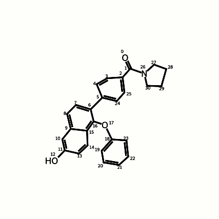 O=C(c1ccc(-c2ccc3cc(O)ccc3c2Oc2ccccc2)cc1)N1CCCC1